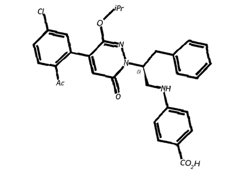 CC(=O)c1ccc(Cl)cc1-c1cc(=O)n([C@H](CNc2ccc(C(=O)O)cc2)Cc2ccccc2)nc1OC(C)C